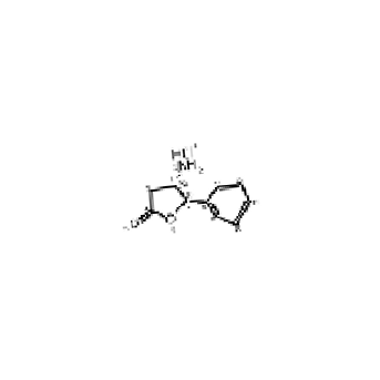 Cl.N[C@H]1CC(=O)O[C@@H]1c1ccccc1